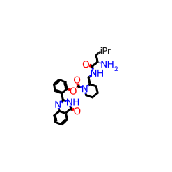 CC(C)C[C@H](N)C(=O)NCC1CCCCN1C(=O)Oc1ccccc1C1=NC2C=CC=CC2C(=O)N1